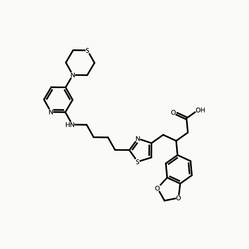 O=C(O)CC(Cc1csc(CCCCNc2cc(N3CCSCC3)ccn2)n1)c1ccc2c(c1)OCO2